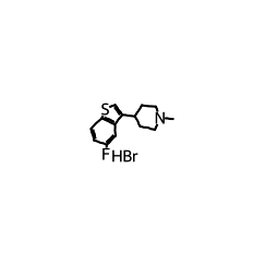 Br.CN1CCC(c2csc3ccc(F)cc23)CC1